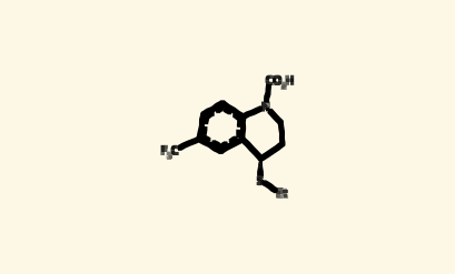 CCS[C@@H]1CCN(C(=O)O)c2ccc(C(F)(F)F)cc21